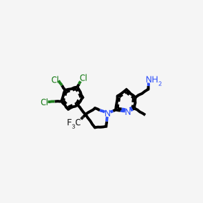 Cc1nc(N2CCC(c3cc(Cl)c(Cl)c(Cl)c3)(C(F)(F)F)C2)ccc1CN